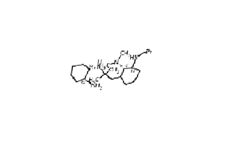 CC(C)N[C@H]1CCCC(CC(C)(C)N[C@H]2CCCC[C@@H]2N)[C@@H]1N(C)C